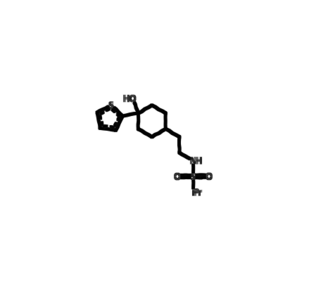 CC(C)S(=O)(=O)NCCC1CCC(O)(c2cccs2)CC1